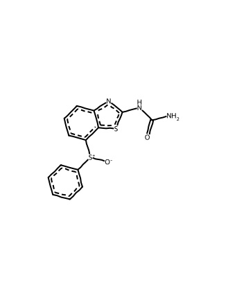 NC(=O)Nc1nc2cccc([S+]([O-])c3ccccc3)c2s1